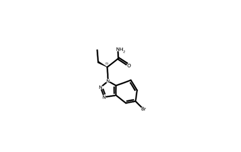 CC[C@@H](C(N)=O)n1nnc2cc(Br)ccc21